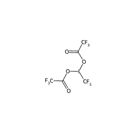 O=C(OI(OC(=O)C(F)(F)F)C(F)(F)F)C(F)(F)F